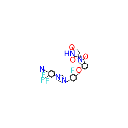 N#Cc1ccc(N2CCN(Cc3ccc(COc4cccc5c4CN([C@H]4CCC(=O)NC4=O)C5=O)c(F)c3)CC2)cc1C(F)(F)F